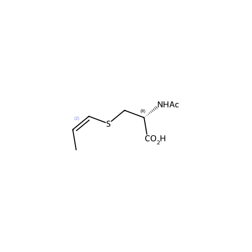 C/C=C\SC[C@H](NC(C)=O)C(=O)O